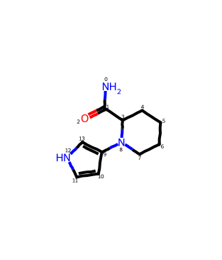 NC(=O)C1CCCCN1c1cc[nH]c1